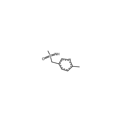 Cc1ccc(CS(C)(=N)=O)cn1